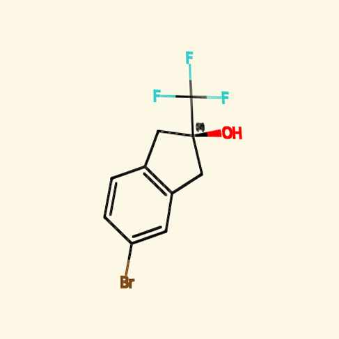 O[C@]1(C(F)(F)F)Cc2ccc(Br)cc2C1